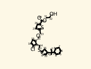 CC(C)(c1ccccc1)c1csc(SC[C@H]2C(Cl)=CC[C@@H]2COCc2ccc(C(=O)OCCO)s2)c1